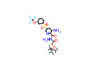 CC(C)[Si](OCC(=O)N(N)C(=O)c1ncc(S(=O)(=O)c2cccc(OC(F)(F)F)c2)cc1N)(C(C)C)C(C)C